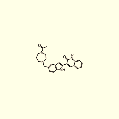 CC(=O)N1CCCN(Cc2ccc3[nH]c(-c4cc5ccccc5[nH]c4=O)cc3c2)CC1